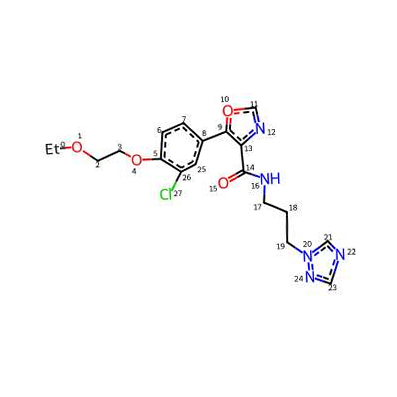 CCOCCOc1ccc(-c2ocnc2C(=O)NCCCn2cncn2)cc1Cl